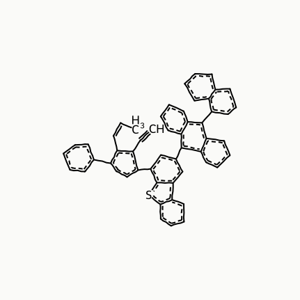 C#Cc1c(-c2cc(-c3c4ccccc4c(-c4cccc5ccccc45)c4ccccc34)cc3c2sc2ccccc23)ccc(-c2ccccc2)c1/C=C\C